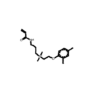 C=CC(=O)NCCC[N+](C)(C)CCOc1ccc(C)cc1C